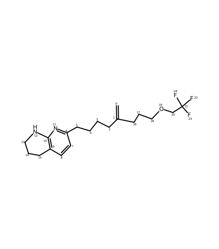 C=C(CCCCc1ccc2c(n1)NCCC2)CCCOCC(F)(F)F